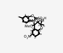 COC1(N2c3ccc(C)cc3OC2S(=O)(=O)O)c2cc([N+](=O)[O-])ccc2OC(C)(C)C1(O)OC